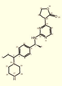 CCC(c1ccc([C@H](C)Nc2nccc(N3CCOC3=O)n2)cc1)N1CCNCC1